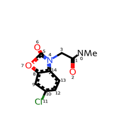 CNC(=O)Cn1c(=O)oc2cc(Cl)ccc21